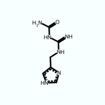 N=C(NCc1c[nH]cn1)NC(N)=O